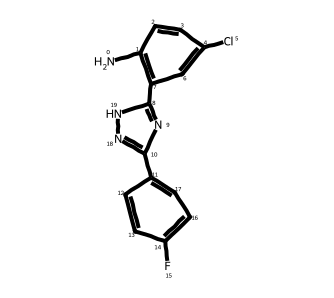 Nc1ccc(Cl)cc1-c1nc(-c2ccc(F)cc2)n[nH]1